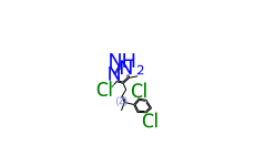 C/C(=C/Cc1c(C)nc(N)nc1Cl)c1cc(Cl)ccc1Cl